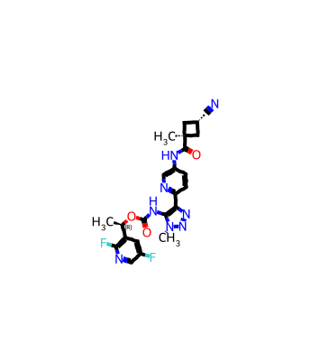 C[C@@H](OC(=O)Nc1c(-c2ccc(NC(=O)[C@]3(C)C[C@@H](C#N)C3)cn2)nnn1C)c1cc(F)cnc1F